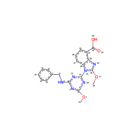 COc1nc(NCc2ccccc2)nc(-n2c(OC)nc3c(C(=O)O)cccc32)n1